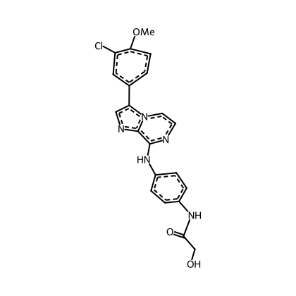 COc1ccc(-c2cnc3c(Nc4ccc(NC(=O)CO)cc4)nccn23)cc1Cl